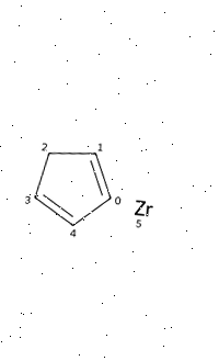 C1=CCC=C1.[Zr]